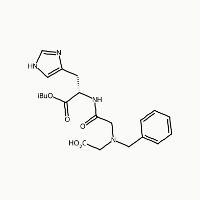 CC(C)COC(=O)[C@H](Cc1c[nH]cn1)NC(=O)CN(CC(=O)O)Cc1ccccc1